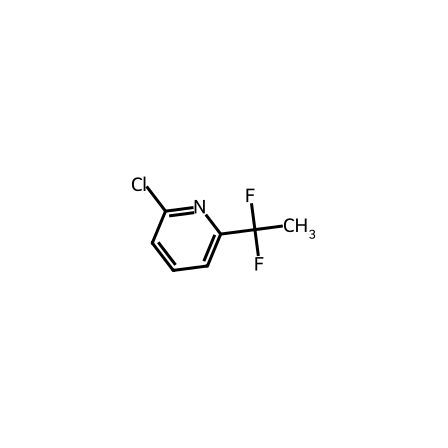 CC(F)(F)c1cccc(Cl)n1